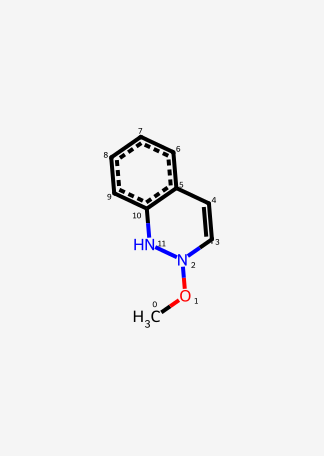 CON1[C]=Cc2ccccc2N1